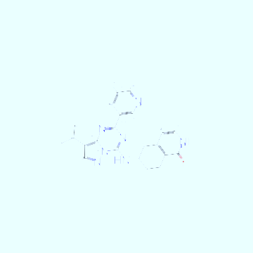 CC(C)c1cnn2c(N[C@H]3CCc4c(cc[nH]c4=O)C3)nc(-c3cncc(F)c3)nc12